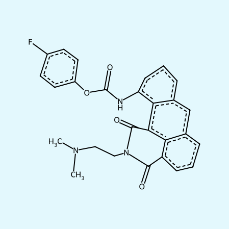 CN(C)CCN1C(=O)c2cccc3cc4cccc(NC(=O)Oc5ccc(F)cc5)c4c(c23)C1=O